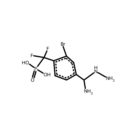 NNC(N)c1ccc(C(F)(F)P(=O)(O)O)c(Br)c1